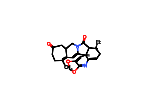 CC[C]1CC=C2N=C3OCOC3=C[C@]23C2=CC4=C(C)CCC(=O)CC4CN2C(=O)C13